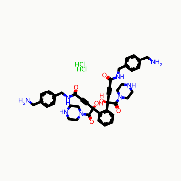 Cl.Cl.NCc1ccc(CNC(=O)C#CC(O)(C(=O)N2CCNCC2)c2ccccc2C(O)(C#CC(=O)NCc2ccc(CN)cc2)C(=O)N2CCNCC2)cc1